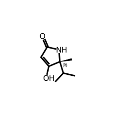 CC(C)[C@@]1(C)NC(=O)C=C1O